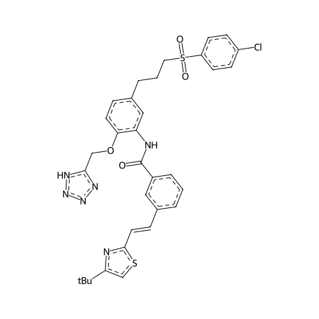 CC(C)(C)c1csc(C=Cc2cccc(C(=O)Nc3cc(CCCS(=O)(=O)c4ccc(Cl)cc4)ccc3OCc3nnn[nH]3)c2)n1